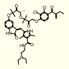 C=C(CC)C(=O)c1ccc(OCC(=O)C(C)(C)O[C@@H](C)C(=O)C(C)(C)Oc2ccc3c(c2)/C(=C/c2[nH]c(C)c(C(=O)NCCN(CC)CC)c2C)C(=O)N3)c(Cl)c1Cl